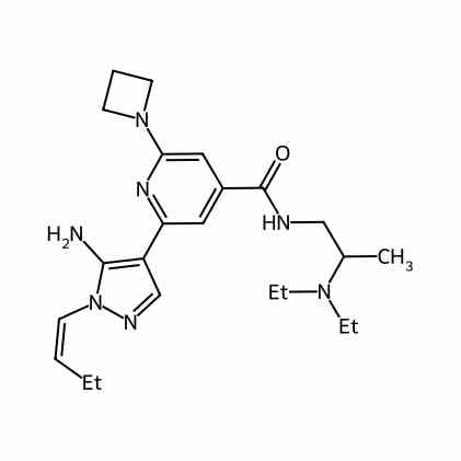 CC/C=C\n1ncc(-c2cc(C(=O)NCC(C)N(CC)CC)cc(N3CCC3)n2)c1N